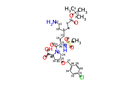 CC(C)(C)OC(=O)CCC(CCN)CC[C@@H](NS(C)(=O)=O)C(=O)N1C[C@H](OCc2ccc(Cl)cc2)C[C@H]1C(=O)O